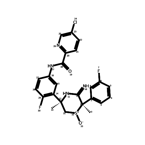 C[C@@]1(c2cccc(F)c2)C(=N)N[C@](C)(c2cc(NC(=O)c3ccc(Cl)cn3)ccc2F)C[S+]1[O-]